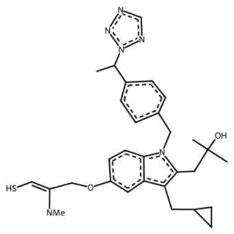 CN/C(=C\S)COc1ccc2c(c1)c(CC1CC1)c(CC(C)(C)O)n2Cc1ccc(C(C)n2ncnn2)cc1